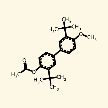 COc1ccc(-c2ccc(OC(C)=O)c(C(C)(C)C)c2)cc1C(C)(C)C